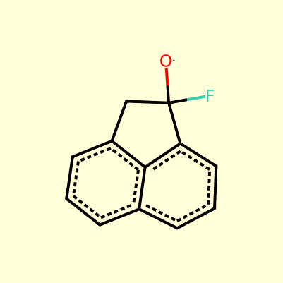 [O]C1(F)Cc2cccc3cccc1c23